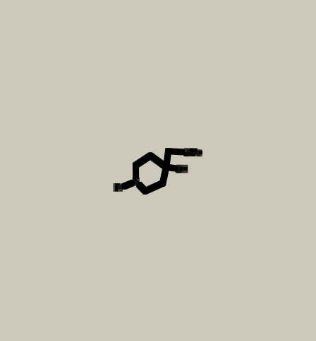 COCC1(O)CCN(C(C)C)CC1